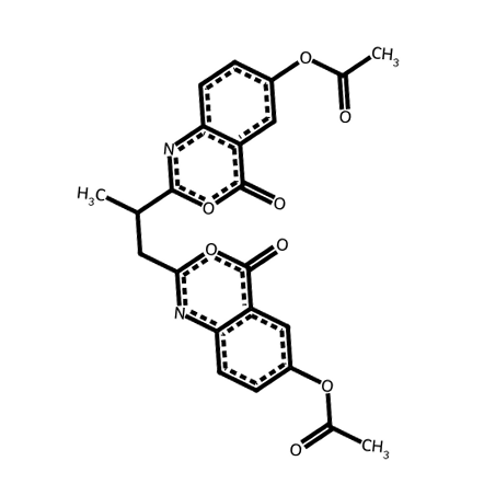 CC(=O)Oc1ccc2nc(CC(C)c3nc4ccc(OC(C)=O)cc4c(=O)o3)oc(=O)c2c1